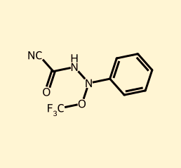 N#CC(=O)NN(OC(F)(F)F)c1ccccc1